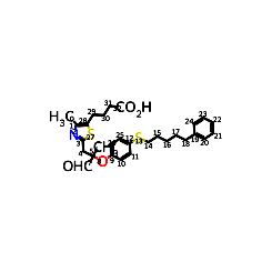 Cc1nc(CC(C)(C=O)Oc2ccc(SCCCCCc3ccccc3)cc2)sc1CCCC(=O)O